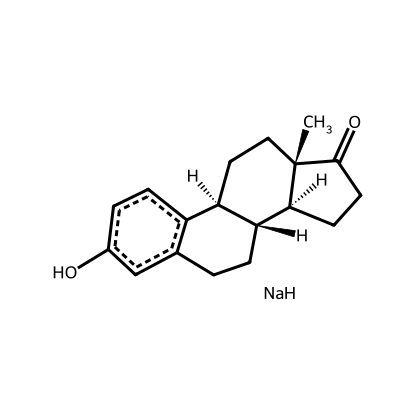 C[C@]12CC[C@@H]3c4ccc(O)cc4CC[C@H]3[C@@H]1CCC2=O.[NaH]